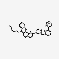 C=C/C(=C\NCc1cccc(C2=CCCC=N2)n1)c1ccc2ccc3c(c2n1)=NC1CC=CC=C1C=3CC/C=C\C=C/C